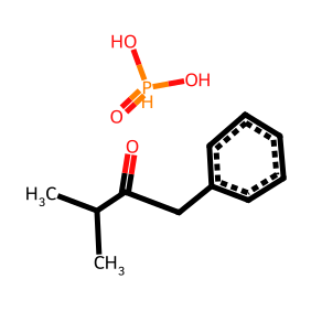 CC(C)C(=O)Cc1ccccc1.O=[PH](O)O